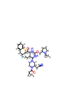 C=CC(=O)N1CCN(C2NC(OCC3CCCN3C)NC3C(=O)[C@]4(CCC32)Sc2ccccc2CC4F)CC1CC#N